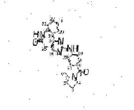 CC1CCCN1C(=O)c1ccc(Nc2ncc3c(n2)-c2ccccc2NC(=O)C3)cc1